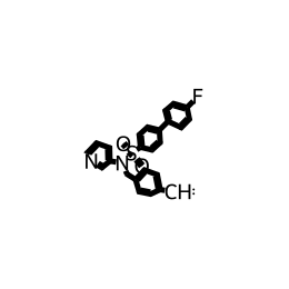 [CH]c1ccc(CN(c2cccnc2)S(=O)(=O)c2ccc(-c3ccc(F)cc3)cc2)cc1